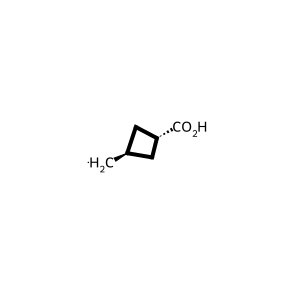 [CH2][C@H]1C[C@H](C(=O)O)C1